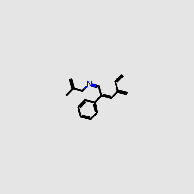 C=CC(=C)/C=C(\C=N/CC(=C)C)c1ccccc1